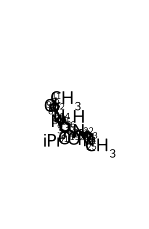 CC(C)Oc1cc2nn(C34COC(C)(C3)C4)cc2cc1C(=O)Nc1ccn(C)n1